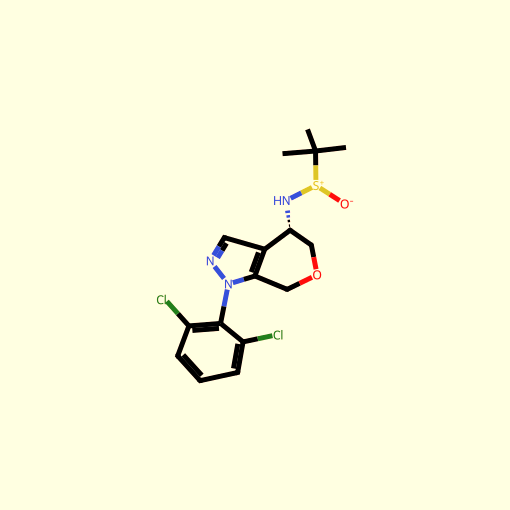 CC(C)(C)[S+]([O-])N[C@@H]1COCc2c1cnn2-c1c(Cl)cccc1Cl